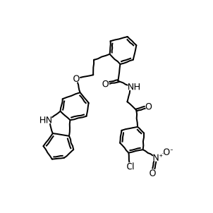 O=C(CNC(=O)c1ccccc1CCOc1ccc2c(c1)[nH]c1ccccc12)c1ccc(Cl)c([N+](=O)[O-])c1